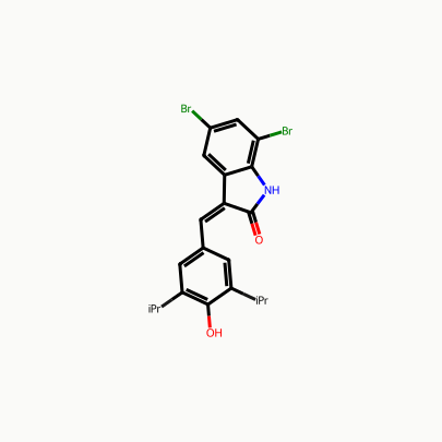 CC(C)c1cc(C=C2C(=O)Nc3c(Br)cc(Br)cc32)cc(C(C)C)c1O